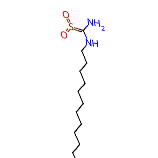 CCCCCCCCCCCCNC(N)=S(=O)=O